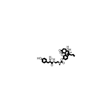 C=CC[N+]1(C)CC[C@]23c4c5ccc(OC(=O)N(C)CCNC(=O)[C@@H](N)Cc6ccc(O)cc6)c4O[C@H]2C(=O)CC[C@@]3(O)[C@H]1C5